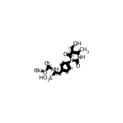 Cc1[nH]c(=O)n(-c2ccc(CC(NC(=O)OC(C)(C)C)C(=O)O)cc2)c(=O)c1CO